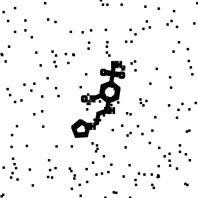 NS(=O)(=O)c1ccc(NCC[SH]2C=CC=C2)c([N+](=O)[O-])c1